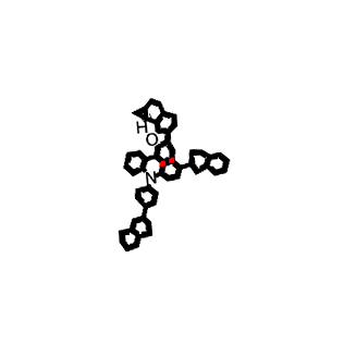 C1=Cc2ccc3c(oc4c(-c5ccccc5N(c5ccc(-c6ccc7ccccc7c6)cc5)c5ccc(-c6ccc7ccccc7c6)cc5)cccc43)c2[C@@H]2C=C12